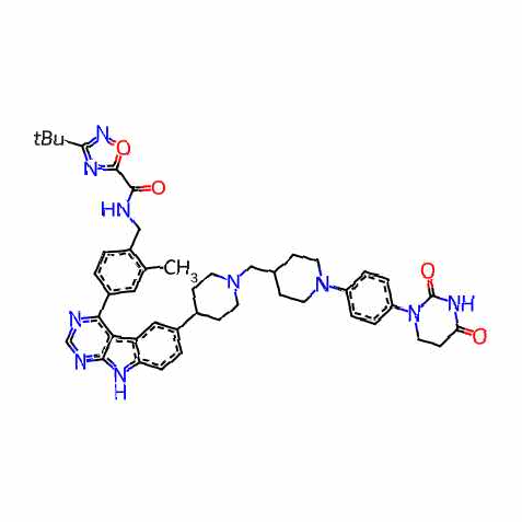 Cc1cc(-c2ncnc3[nH]c4ccc(C5CCN(CC6CCN(c7ccc(N8CCC(=O)NC8=O)cc7)CC6)CC5)cc4c23)ccc1CNC(=O)c1nc(C(C)(C)C)no1